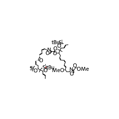 C/C=C/C(O[Si](C)(C)C(C)(C)C)C(C)(C)C(C\C=C/C=C\C=C\C(Cc1nc(C(=O)OC)co1)OC)OC(=O)c1coc(/C=C\C=C\[C@@H]2O[C@@H]2/C=C\CC(O[Si](C)(C)C)C(C)(C)C(/C=C/C)O[Si](C)(C)C(C)(C)C)n1